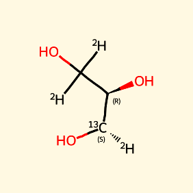 [2H][13C@H](O)[C@H](O)C([2H])([2H])O